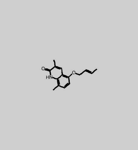 CC=CCOc1ccc(C)c2[nH]c(=O)c(C)cc12